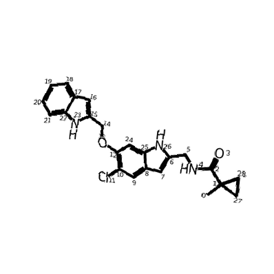 CC1(C(=O)NCc2cc3cc(Cl)c(OCc4cc5ccccc5[nH]4)cc3[nH]2)CC1